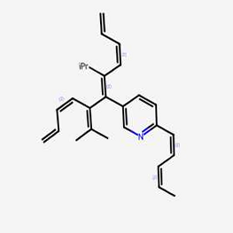 C=C/C=C\C(=C(C)C)/C(=C(/C=C\C=C)C(C)C)c1ccc(/C=C\C=C/C)nc1